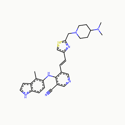 Cc1c(Nc2c(C#N)cncc2C=Cc2csc(CN3CCC(N(C)C)CC3)n2)ccc2[nH]ccc12